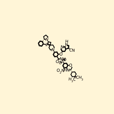 CC(C)c1ccccc1[C@@H]1CCCN1C1CC2(CCN(c3ccc(C(=O)NS(=O)(=O)c4cc5c(c([N+](=O)[O-])c4)N[C@@H](C4CCC(C)(C)CC4)CO5)c(Oc4cnc5[nH]cc(C#N)c5c4)c3)CC2)C1